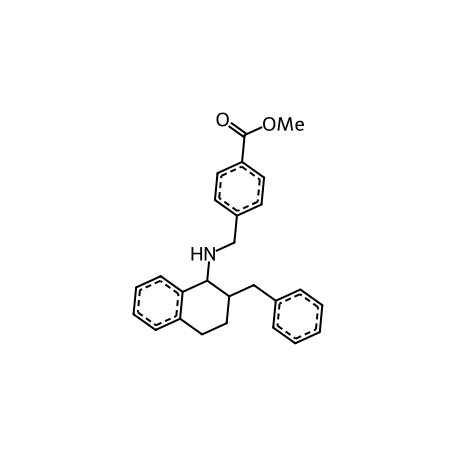 COC(=O)c1ccc(CNC2c3ccccc3CCC2Cc2ccccc2)cc1